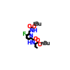 C/C=C(/NC(=O)c1ccc(F)c(CNC(=O)OC(C)(C)C)n1)C(=O)OCCCC